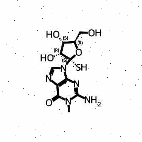 Cn1c(N)nc2c(ncn2[C@]2(S)O[C@H](CO)[C@@H](O)[C@H]2O)c1=O